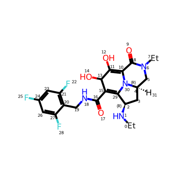 CCN[C@@H]1C[C@@H]2CN(CC)C(=O)C3=C(O)C(O)C(C(=O)NCc4c(F)cc(F)cc4F)=C1N32